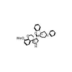 COc1cccc2c1OCC[C@]21CNC[C@H]1C(=O)N1CC[C@@H](c2ccccc2)C[C@H]1c1ccccc1